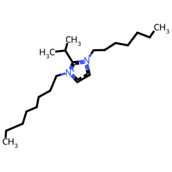 CCCCCCCC[n+]1ccn(CCCCCCC)c1C(C)C